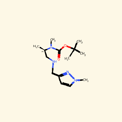 C[C@H](CNCc1ccn(C)n1)N(C)C(=O)OC(C)(C)C